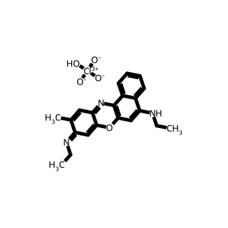 CCN=c1cc2oc3cc(NCC)c4ccccc4c3nc-2cc1C.[O-][Cl+3]([O-])([O-])O